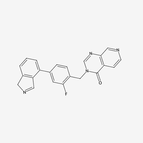 O=c1c2ccncc2ncn1Cc1ccc(-c2cccc3c2C=NC3)cc1F